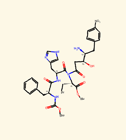 CC(C)C[C@@H](C(=O)OC(C)(C)C)N(C(=O)C[C@H](O)[C@@H](N)Cc1ccc([N+](=O)[O-])cc1)C(=O)[C@H](Cc1c[nH]cn1)NC(=O)[C@H](Cc1ccccc1)NC(=O)OC(C)(C)C